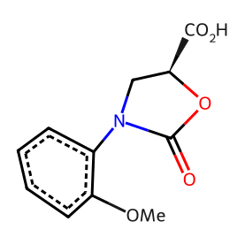 COc1ccccc1N1C[C@@H](C(=O)O)OC1=O